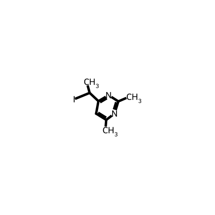 Cc1cc(C(C)I)nc(C)n1